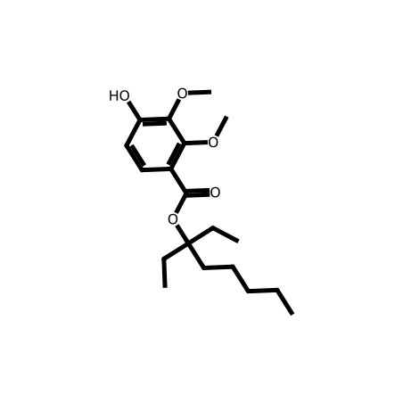 CCCCCC(CC)(CC)OC(=O)c1ccc(O)c(OC)c1OC